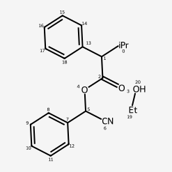 CC(C)C(C(=O)OC(C#N)c1ccccc1)c1ccccc1.CCO